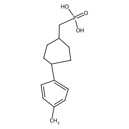 Cc1ccc(C2CCC(CP(=O)(O)O)CC2)cc1